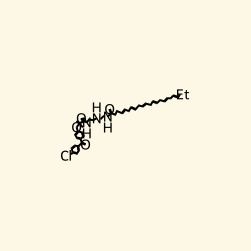 CCC=CCC=CCC=CCC=CCC=CCC=CCCC(=O)NCCNCCNC(=O)C(C)(C)Oc1ccc(C(=O)c2ccc(Cl)cc2)cc1